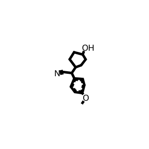 COc1ccc(C(C#N)C2CCC(O)CC2)cc1